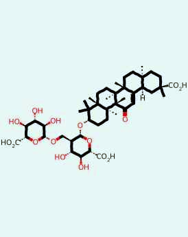 CC1(C)[C@@H](O[C@@H]2O[C@H](C(=O)O)[C@@H](O)[C@H](O)[C@H]2CO[C@@H]2O[C@H](C(=O)O)[C@@H](O)[C@H](O)[C@H]2O)CC[C@]2(C)[C@@]3(C)C(=O)C=C4[C@@H]5C[C@](C)(C(=O)O)CC[C@]5(C)CC[C@@]4(C)[C@]3(C)CC[C@@]12C